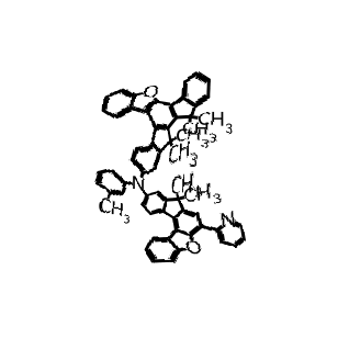 Cc1cccc(N(c2ccc3c(c2)C(C)(C)c2cc(-c4ccccn4)c4oc5ccccc5c4c2-3)c2ccc3c(c2)C(C)(C)c2c4c(c5oc6ccccc6c5c2-3)-c2ccccc2C4(C)C)c1